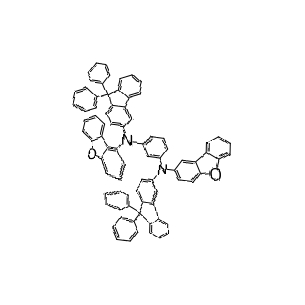 c1ccc(C2(c3ccccc3)c3ccccc3-c3cc(N(c4cccc(N(c5ccc6c(c5)-c5ccccc5C6(c5ccccc5)c5ccccc5)c5cccc6oc7ccccc7c56)c4)c4ccc5oc6ccccc6c5c4)ccc32)cc1